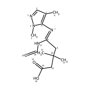 Cc1cnn(C)c1/N=C(/CC(C)(C)CC(=O)O)NC=O